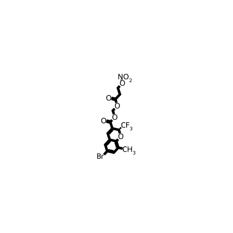 Cc1cc(Br)cc2c1O[C@H](C(F)(F)F)C(C(=O)OCOC(=O)CCO[N+](=O)[O-])=C2